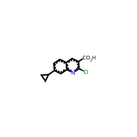 O=C(O)c1cc2ccc(C3CC3)cc2nc1Cl